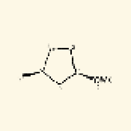 CO[C@@H]1CC[C@H](C)C1